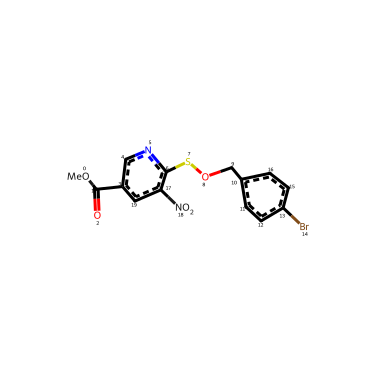 COC(=O)c1cnc(SOCc2ccc(Br)cc2)c([N+](=O)[O-])c1